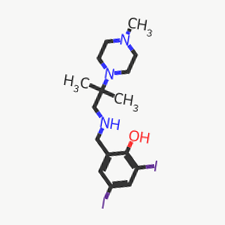 CN1CCN(C(C)(C)CNCc2cc(I)cc(I)c2O)CC1